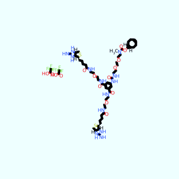 CN(CCOCCOCCNC(=O)Nc1cc(C(=O)NCCOCCNC(=O)CCCC[C@@H]2SC[C@@H]3NC(=N)N[C@@H]32)cc(C(=O)NCCOCCNC(=O)CCCC[C@@H]2SC[C@@H]3NC(=N)N[C@@H]32)c1)C(=O)OC1[C@H]2CCC#CCC[C@@H]12.O=C(O)C(F)(F)F.O=C(O)C(F)(F)F